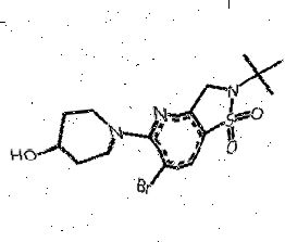 CC(C)(C)N1Cc2nc(N3CCC(O)CC3)c(Br)cc2S1(=O)=O